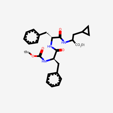 CCOC(=O)C(CC1CC1)NC(=O)[C@@H](Cc1ccccc1)NC(=O)[C@@H](Cc1ccccc1)NC(=O)OC(C)(C)C